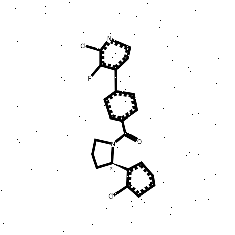 O=C(c1ccc(-c2ccnc(Cl)c2F)cc1)N1CCC[C@@H]1c1ccccc1Cl